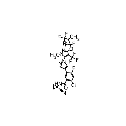 CC(C(F)(F)F)C(F)(F)Oc1nn(C)c(-n2cc(-c3cc(C(=O)NC4(C#N)CC4)c(Cl)cc3F)cn2)c1C(F)(F)F